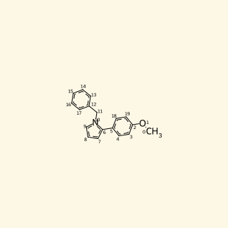 COc1ccc(-c2cccn2Cc2ccccc2)cc1